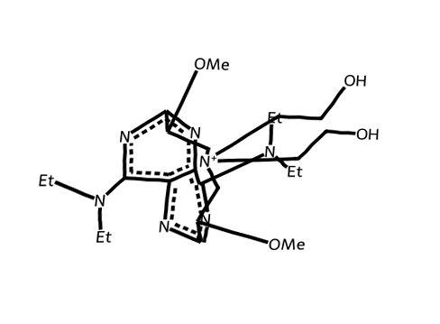 CCN(CC)c1nc2nc3c(N(CC)CC)nc(nc13)C(OC)C[N+](CCO)(CCO)CC2OC